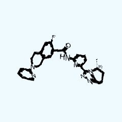 C[C@@H]1CCc2nnc(-c3cccc(NC(=O)c4cc5c(cc4F)CCN(c4ccccn4)C5)n3)n21